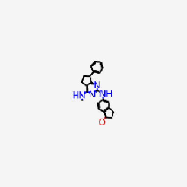 CNc1nc(Nc2ccc3c(c2)CCC3=O)nc2c1CCC2c1ccccc1